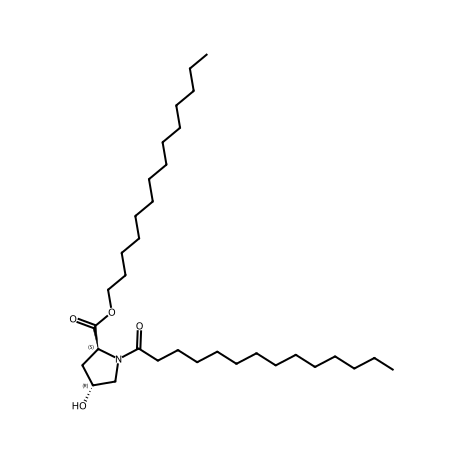 CCCCCCCCCCCCCCOC(=O)[C@@H]1C[C@@H](O)CN1C(=O)CCCCCCCCCCCCC